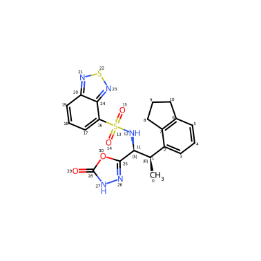 C[C@H](c1cccc2c1CCC2)[C@H](NS(=O)(=O)c1cccc2nsnc12)c1n[nH]c(=O)o1